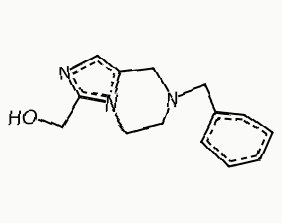 OCc1ncc2n1CCN(Cc1ccccc1)C2